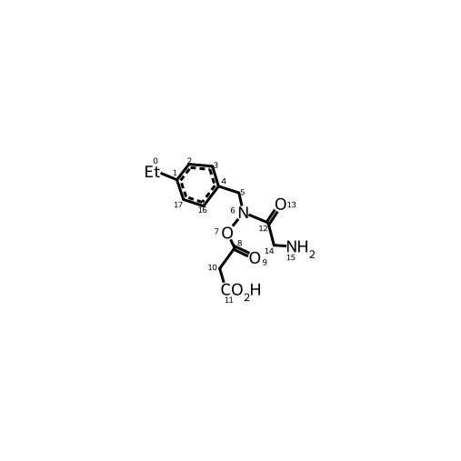 CCc1ccc(CN(OC(=O)CC(=O)O)C(=O)CN)cc1